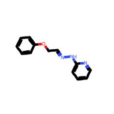 C(COc1ccccc1)=NNc1ccccn1